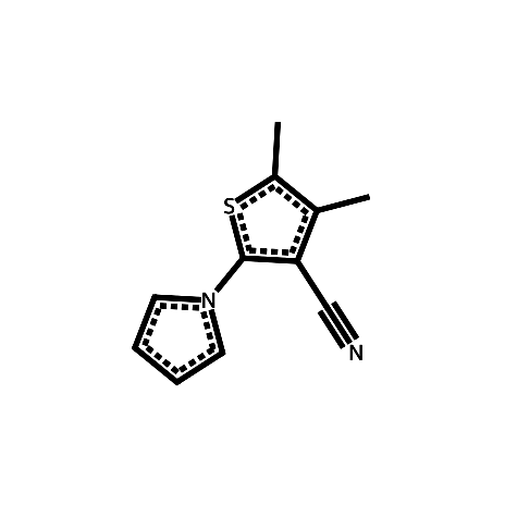 Cc1sc(-n2cccc2)c(C#N)c1C